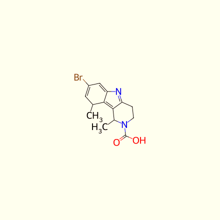 CC1C=C(Br)C=C2N=C3CCN(C(=O)O)C(C)C3=C21